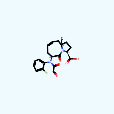 O=CC(=O)N(c1ccccc1F)[C@H]1CC=CC[C@@H]2CC[C@@H](C(=O)O)N2C1=O